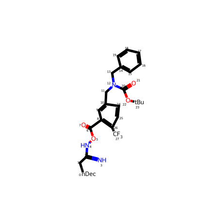 CCCCCCCCCCCC(=N)NOC(=O)c1cc(CN(Cc2ccccc2)C(=O)OC(C)(C)C)ccc1C(F)(F)F